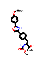 CCCCCCCOc1ccc(C2NC(c3ccc(CC(NC(=O)OC(C)(C)C)C(=O)OC)cc3)=CO2)cc1